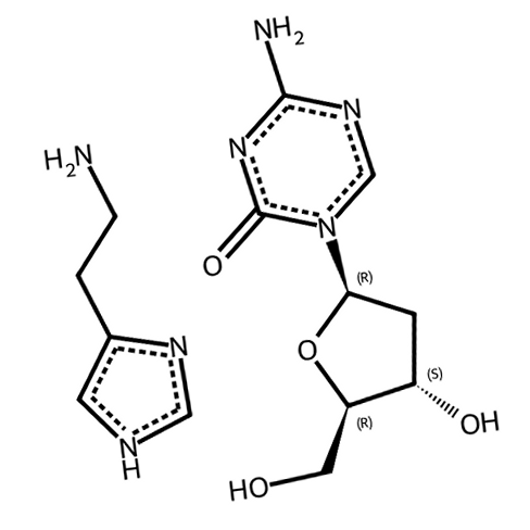 NCCc1c[nH]cn1.Nc1ncn([C@H]2C[C@H](O)[C@@H](CO)O2)c(=O)n1